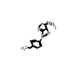 CCc1ccc(-n2cnc3c(N)ncnc32)cc1